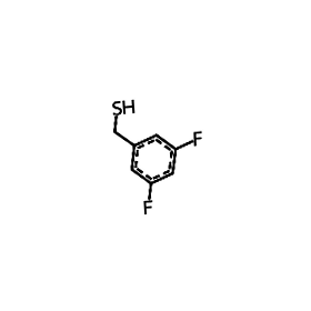 Fc1cc(F)cc(CS)c1